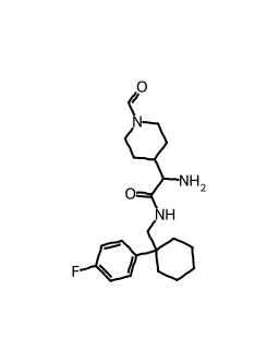 NC(C(=O)NCC1(c2ccc(F)cc2)CCCCC1)C1CCN(C=O)CC1